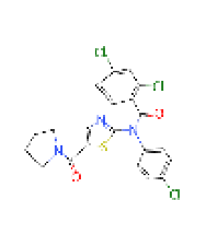 O=C(c1cnc(N(C(=O)c2ccc(Cl)cc2Cl)c2ccc(Cl)cc2)s1)N1CCCC1